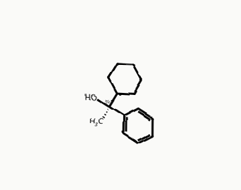 C[C@@](O)(c1ccccc1)C1CCCCC1